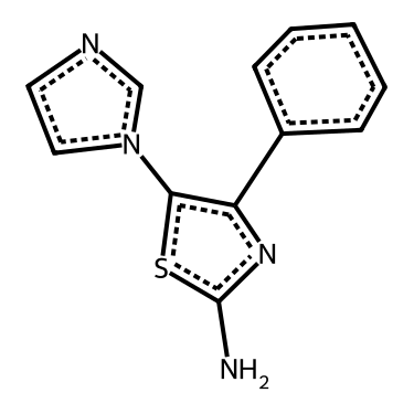 Nc1nc(-c2ccccc2)c(-n2ccnc2)s1